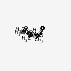 CCCN(CC(=O)N[C@H]1CC(C)N(CC(=O)NC(C=O)=C(C)C)C1=O)C(=O)OCc1ccccc1